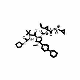 C=CC1C[C@]1(NC(=O)[C@@H]1C[C@@](OC)(c2ccc(-c3ccccc3)cc2)CN1C(=O)[C@@H](NC(=O)OC1CCCC1)C(C)(C)C)C(=O)NS(=O)(=O)C1CC1